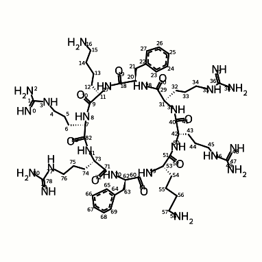 N=C(N)NCCC[C@@H]1NC(=O)[C@H](CCCCN)NC(=O)[C@@H](Cc2ccccc2)NC(=O)[C@H](CCCNC(=N)N)NC(=O)[C@H](CCCNC(=N)N)NC(=O)[C@H](CCCCN)NC(=O)[C@@H](Cc2ccccc2)NC(=O)[C@H](CCCNC(=N)N)NC1=O